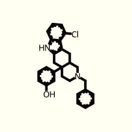 Oc1cccc(C23CCN(Cc4ccccc4)CC2Cc2c([nH]c4cccc(Cl)c24)C3)c1